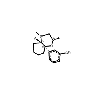 C[C@@H]1CN(C)[C@H]2CCCC[C@]2(c2cccc(O)c2)O1